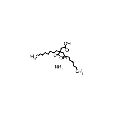 CCCCCCCCC(CCCCCCCC)(CC(=O)O)C(=O)O.N